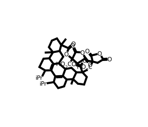 CC(C)C1CCC2C3=C1C1=C4C(CC5C(C)(C(=O)OC6(C(=O)O)CC(=O)OC6=O)CCCC5(C)C4CCC1C(C)C)C3CC1C(C)(C(=O)OC3(C(=O)O)CC(=O)OC3=O)CCCC21C